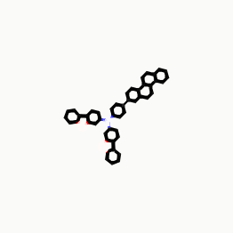 c1ccc2c(c1)ccc1c3ccc(-c4ccc(N(c5ccc6c(c5)oc5ccccc56)c5ccc6c(c5)oc5ccccc56)cc4)cc3ccc21